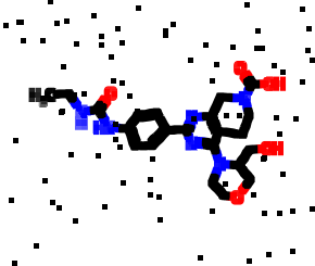 CCNC(=O)Nc1ccc(-c2nc3c(c(N4CCOCC4CO)n2)CCN(C(=O)O)C3)cc1